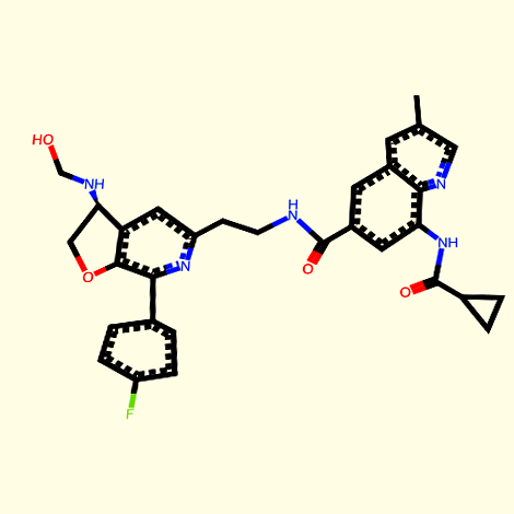 Cc1cnc2c(NC(=O)C3CC3)cc(C(=O)NCCc3cc4c(c(-c5ccc(F)cc5)n3)OC[C@H]4NCO)cc2c1